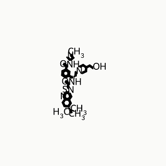 CN1CC(NC(=O)c2cccc([C@@H](CCN3CCC(CCO)CC3)NC(=O)c3nc4cc5c(nc4s3)CC[C@H](C(C)(C)C)C5)c2)C1